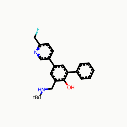 CC(C)(C)NCc1cc(-c2ccc(CF)nc2)cc(-c2ccccc2)c1O